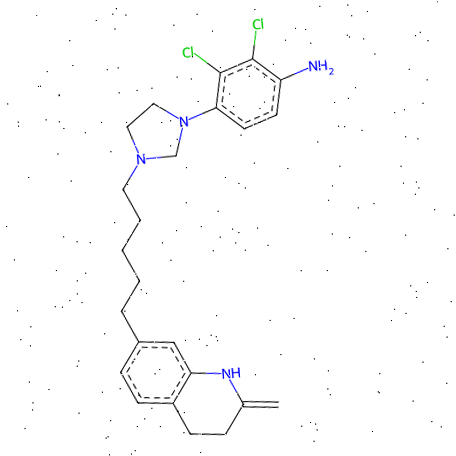 C=C1CCc2ccc(CCCCCN3CCN(c4ccc(N)c(Cl)c4Cl)C3)cc2N1